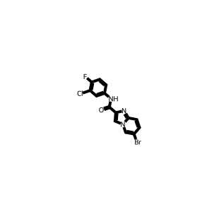 O=C(Nc1ccc(F)c(Cl)c1)c1cn2cc(Br)ccc2n1